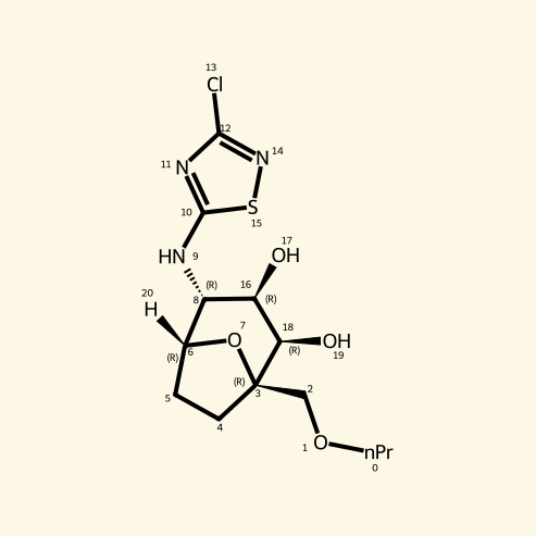 CCCOC[C@@]12CC[C@@H](O1)[C@H](Nc1nc(Cl)ns1)[C@@H](O)[C@H]2O